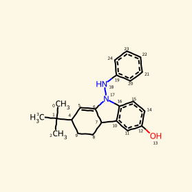 CC(C)(C)C1C=C2C(CC1)c1cc(O)ccc1N2Nc1ccccc1